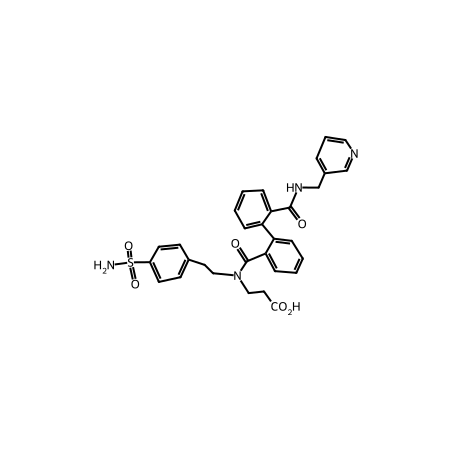 NS(=O)(=O)c1ccc(CCN(CCC(=O)O)C(=O)c2ccccc2-c2ccccc2C(=O)NCc2cccnc2)cc1